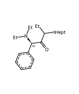 CCCCCCCC(CC)C(=O)[C@@H](c1ccccc1)N(CC)CC